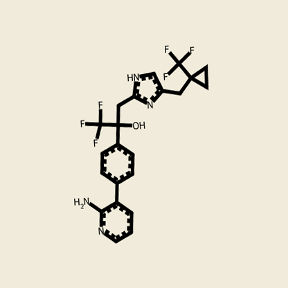 Nc1ncccc1-c1ccc(C(O)(Cc2nc(CC3(C(F)(F)F)CC3)c[nH]2)C(F)(F)F)cc1